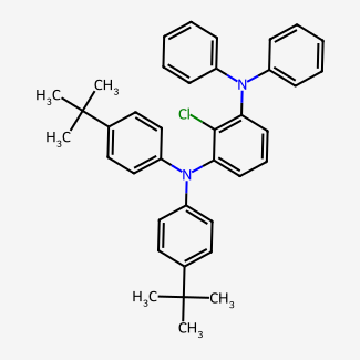 CC(C)(C)c1ccc(N(c2ccc(C(C)(C)C)cc2)c2cccc(N(c3ccccc3)c3ccccc3)c2Cl)cc1